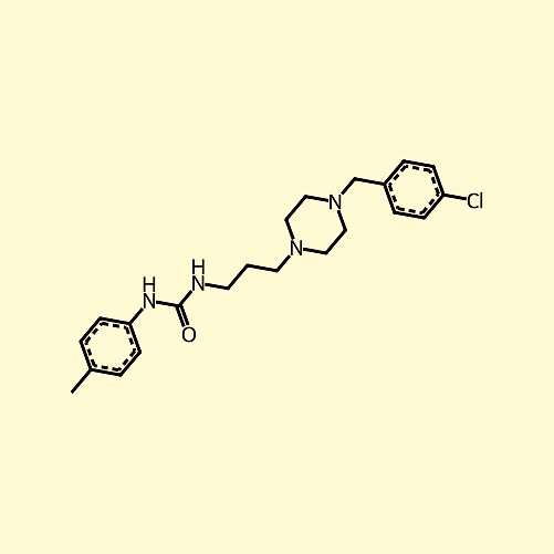 Cc1ccc(NC(=O)NCCCN2CCN(Cc3ccc(Cl)cc3)CC2)cc1